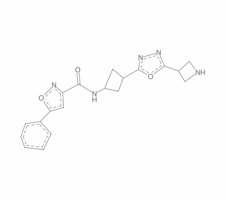 O=C(NC1CC(c2nnc(C3CNC3)o2)C1)c1cc(-c2ccccc2)on1